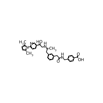 Cc1ccc(C)n1-c1ccc([C@@H](O)CN[C@H](C)Cc2cccc(CC(=O)NCc3ccc(C(=O)O)cc3)c2)cn1